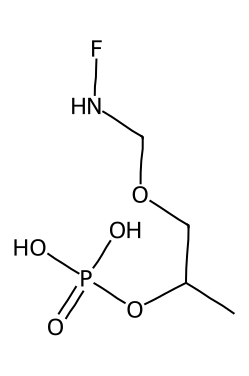 CC(COCNF)OP(=O)(O)O